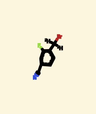 [2H]C([2H])(Br)c1ccc(C#N)cc1F